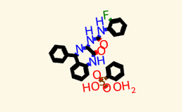 O.O=C(Nc1ccccc1F)NC1N=C(c2ccccc2)c2ccccc2NC1=O.O=S(=O)(O)c1ccccc1